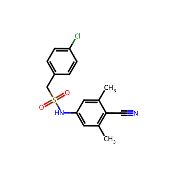 Cc1cc(NS(=O)(=O)Cc2ccc(Cl)cc2)cc(C)c1C#N